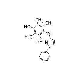 Cc1c(C)c(Nc2ccn(-c3ccccc3)n2)c(C)c(C)c1O